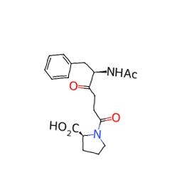 CC(=O)N[C@H](Cc1ccccc1)C(=O)CCC(=O)N1CCC[C@H]1C(=O)O